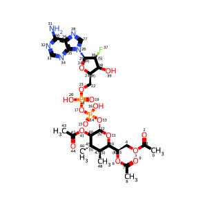 CC(=O)OC[C@@H](OC(C)=O)C1O[C@@H](OP(=O)(O)OP(=O)(O)OC[C@H]2O[C@@H](n3cnc4c(N)ncnc43)[C@@H](F)C2O)C(OC(C)=O)[C@@H](C)[C@@H]1C